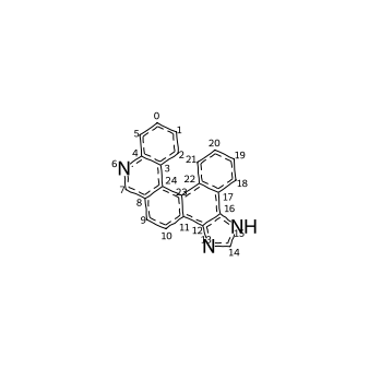 c1ccc2c(c1)ncc1ccc3c4nc[nH]c4c4ccccc4c3c12